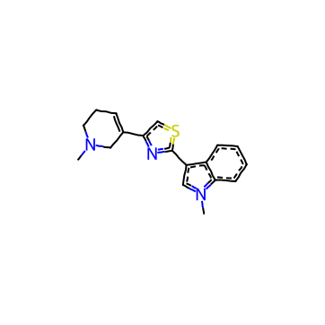 CN1CCC=C(c2csc(-c3cn(C)c4ccccc34)n2)C1